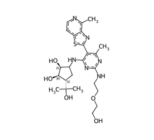 Cc1nc(NCCOCCO)nc(NC2C[C@H](C(C)(C)O)[C@@H](O)[C@H]2O)c1-c1nc2c(C)nccc2s1